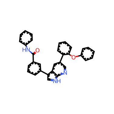 O=C(Nc1ccccc1)c1cccc(-c2c[nH]c3ncc(-c4ccccc4Oc4ccccc4)cc23)c1